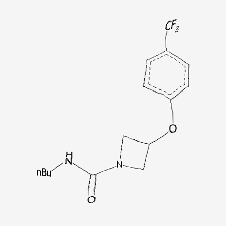 CCCCNC(=O)N1CC(Oc2ccc(C(F)(F)F)cc2)C1